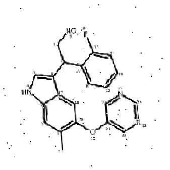 Cc1cc2[nH]cc(C(C[N+](=O)[O-])c3ccccc3F)c2cc1Oc1cncnc1